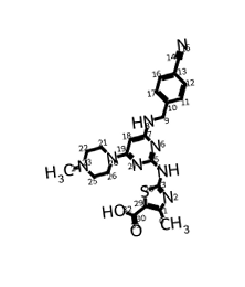 Cc1nc(Nc2nc(NCc3ccc(C#N)cc3)cc(N3CCN(C)CC3)n2)sc1C(=O)O